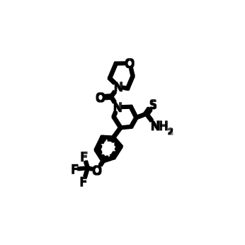 NC(=S)C1CC(c2ccc(OC(F)(F)F)cc2)CN(C(=O)N2CCOCC2)C1